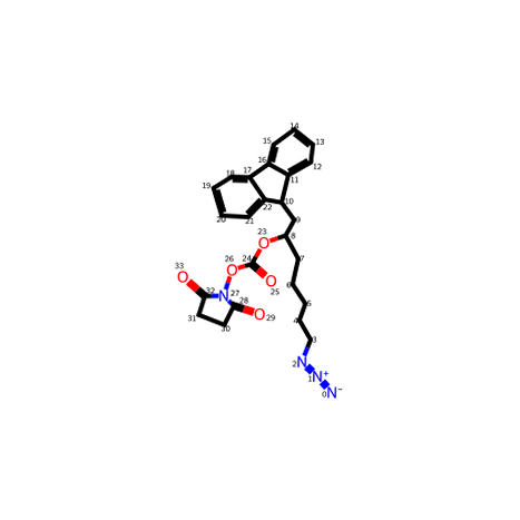 [N-]=[N+]=NCCCCCC(CC1c2ccccc2-c2ccccc21)OC(=O)ON1C(=O)CCC1=O